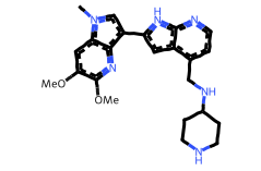 COc1cc2c(nc1OC)c(-c1cc3c(CNC4CCNCC4)ccnc3[nH]1)cn2C